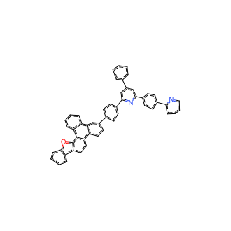 c1ccc(-c2cc(-c3ccc(-c4ccc5c(c4)c4ccccc4c4c5ccc5c6ccccc6oc54)cc3)nc(-c3ccc(-c4ccccn4)cc3)c2)cc1